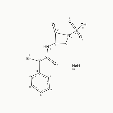 O=C(NC1CN(S(=O)(=O)O)C1=O)C(Br)c1ccccc1.[NaH]